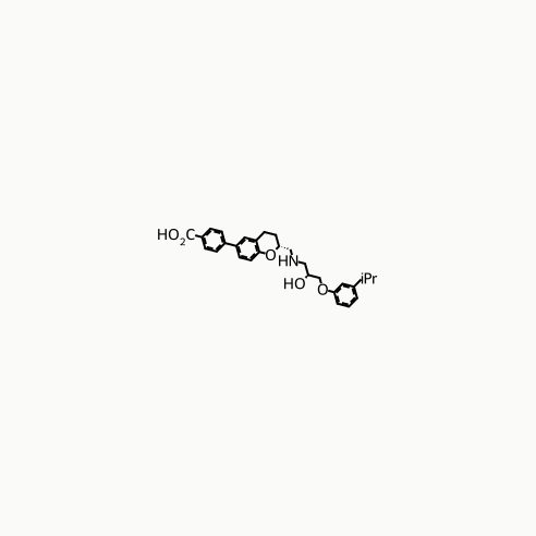 CC(C)c1cccc(OC[C@@H](O)CNC[C@H]2CCc3cc(-c4ccc(C(=O)O)cc4)ccc3O2)c1